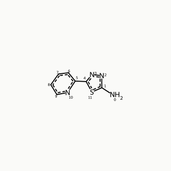 Nc1nnc(-c2ccccn2)s1